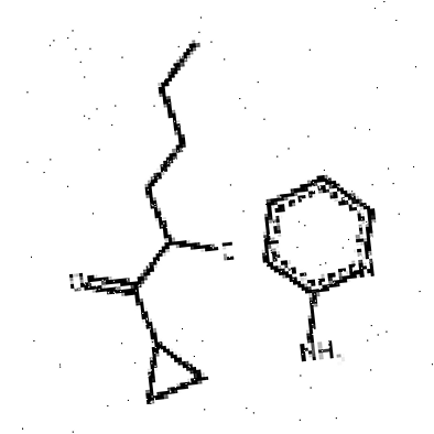 CCCCC(Cl)C(=O)C1CC1.Nc1ccccn1